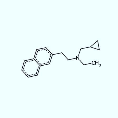 CCN(CCc1ccc2ccccc2c1)CC1CC1